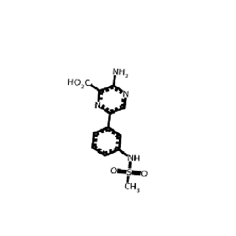 CS(=O)(=O)Nc1cccc(-c2cnc(N)c(C(=O)O)n2)c1